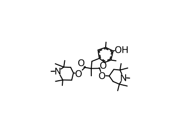 Cc1cc(CC(C)(C(=O)OC2CC(C)(C)N(C)C(C)(C)C2)C(=O)OC2CC(C)(C)N(C)C(C)(C)C2)cc(C)c1O